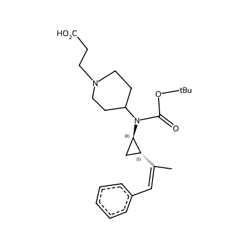 CC(=Cc1ccccc1)[C@@H]1C[C@H]1N(C(=O)OC(C)(C)C)C1CCN(CCC(=O)O)CC1